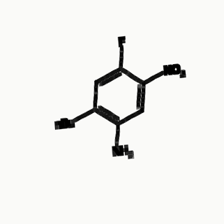 CCCCc1cc(F)c([N+](=O)[O-])cc1N